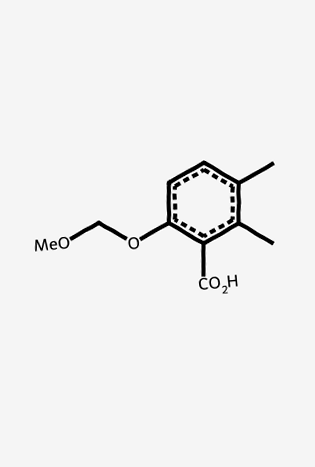 COCOc1ccc(C)c(C)c1C(=O)O